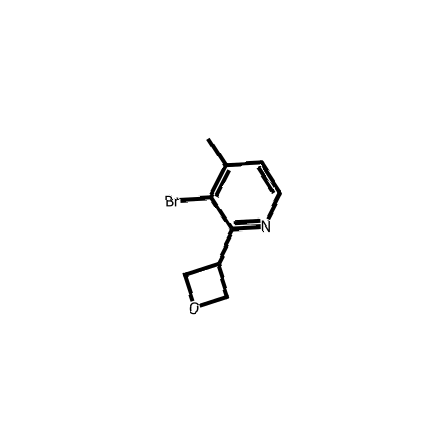 Cc1ccnc(C2COC2)c1Br